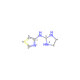 [c]1nc(NC2NCCN2)cs1